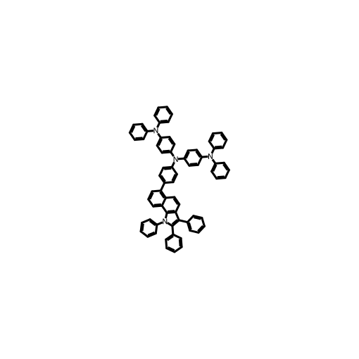 c1ccc(-c2c(-c3ccccc3)n(-c3ccccc3)c3c2ccc2c(-c4ccc(N(c5ccc(N(c6ccccc6)c6ccccc6)cc5)c5ccc(N(c6ccccc6)c6ccccc6)cc5)cc4)cccc23)cc1